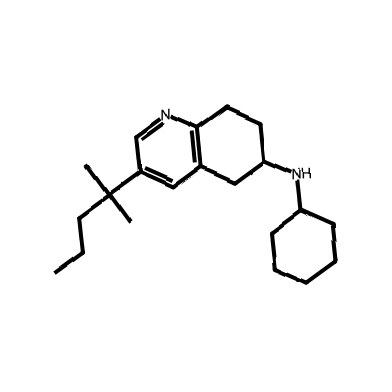 CCCC(C)(C)c1cnc2c(c1)CC(NC1CCCCC1)CC2